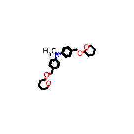 CN(c1ccc(COC2CCCCO2)cc1)c1ccc(COC2CCCCO2)cc1